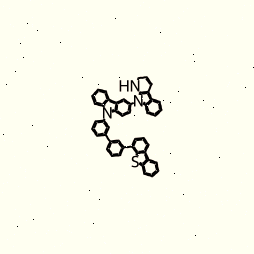 C1=Cc2c(n(-c3ccc4c(c3)c3ccccc3n4-c3cccc(-c4cccc(-c5cccc6c5sc5ccccc56)c4)c3)c3ccccc23)NC1